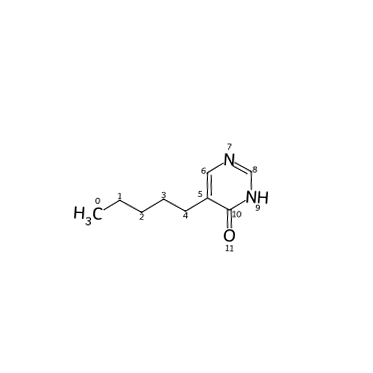 CCCCCc1cnc[nH]c1=O